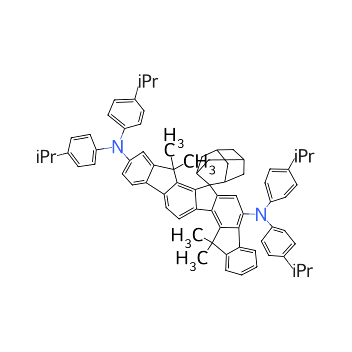 CC(C)c1ccc(N(c2ccc(C(C)C)cc2)c2ccc3c(c2)C(C)(C)c2c-3ccc3c2C2(c4cc(N(c5ccc(C(C)C)cc5)c5ccc(C(C)C)cc5)c5c(c4-3)C(C)(C)c3ccccc3-5)C3CC4CC(C3)CC2C4)cc1